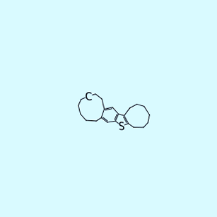 c1c2c(cc3c4c(sc13)CCCCCCC4)CCCCCCCC2